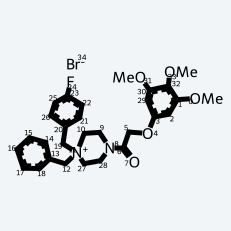 COc1cc(OCC(=O)N2CC[N+](Cc3ccccc3)(Cc3ccc(F)cc3)CC2)cc(OC)c1OC.[Br-]